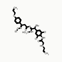 C=CCNCC(=O)Nc1c(Cl)cc(C(C(=NC(=O)CC(=NOCC)c2ccc(OCC=C)cc2)NC(=O)O)C(C)(C)C)cc1Cl